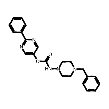 O=C(NN1CCN(Cc2ccccc2)CC1)Oc1cnc(-c2ccccc2)nc1